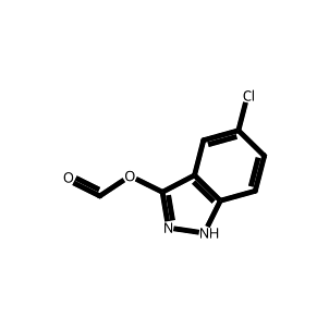 O=COc1n[nH]c2ccc(Cl)cc12